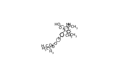 Cc1sc2c(c1C)C(c1ccc(N3CCC(OCC(=O)OC(C)(C)C)CC3)cc1)=N[C@@H](CC(=O)O)c1nnc(C)n1-2